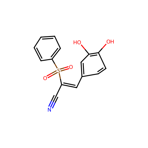 N#CC(=Cc1ccc(O)c(O)c1)S(=O)(=O)c1ccccc1